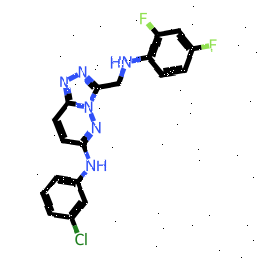 Fc1ccc(NCc2nnc3ccc(Nc4cccc(Cl)c4)nn23)c(F)c1